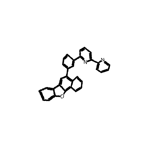 c1ccc(-c2cccc(-c3cccc(-c4cc5c6ccccc6oc5c5ccccc45)c3)n2)nc1